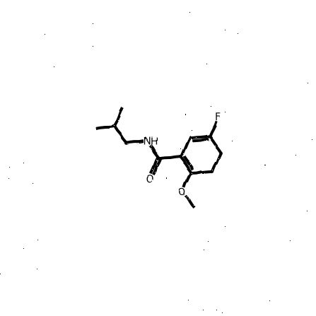 COC1=C(C(=O)NCC(C)C)C=C(F)CC1